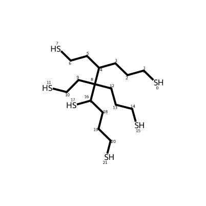 S[CH]CCC(CCS)C(CCS)(CCCS)[C](S)CCCS